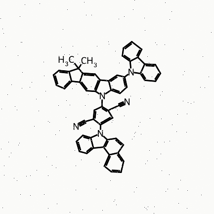 CC1(C)c2ccccc2-c2cc3c(cc21)c1cc(-n2c4ccccc4c4ccccc42)ccc1n3-c1cc(C#N)c(-n2c3ccccc3c3c4ccccc4ccc32)cc1C#N